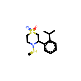 C=[SH]N1CCS(=N)(=O)CC1c1ccccc1C(C)C